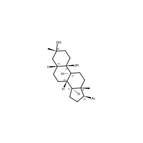 CCC[C@]12CC[C@@](C)(O)C[C@H]1CC[C@H]1[C@@H]3CC[C@H](C(C)=O)[C@@]3(C)CC[C@@H]12